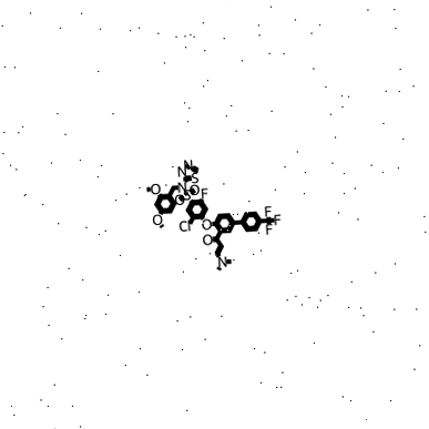 COc1ccc(CN(c2nncs2)S(=O)(=O)c2cc(Cl)c(Oc3ccc(-c4ccc(C(F)(F)F)cc4)cc3C(=O)C=CN(C)C)cc2F)c(OC)c1